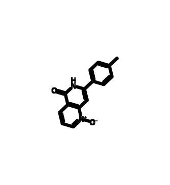 Cc1ccc(-c2cc3c(ccc[n+]3[O-])c(=O)[nH]2)cc1